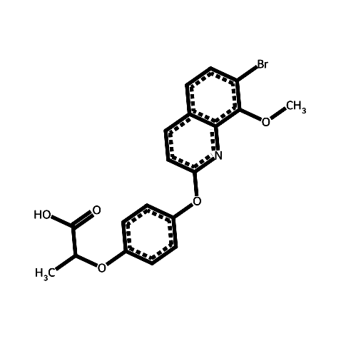 COc1c(Br)ccc2ccc(Oc3ccc(OC(C)C(=O)O)cc3)nc12